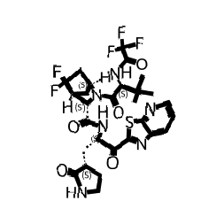 CC(C)(C)[C@H](NC(=O)C(F)(F)F)C(=O)N1[C@H]2C[C@@H]([C@H]1C(=O)N[C@@H](C[C@@H]1CCNC1=O)C(=O)c1nc3cccnc3s1)C(F)(F)C2